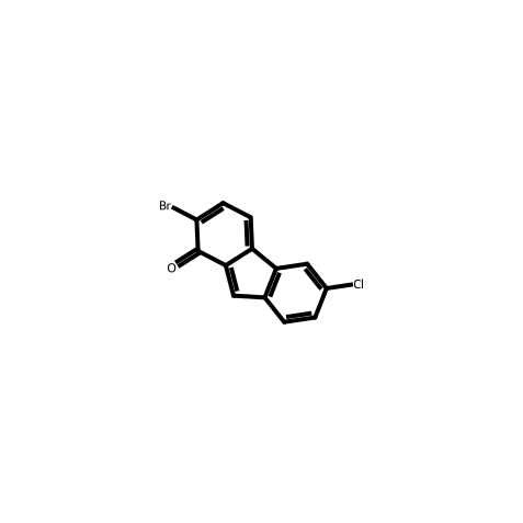 O=C1C(Br)=CC=C2C1=Cc1ccc(Cl)cc12